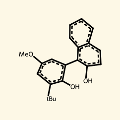 COc1cc(-c2c(O)ccc3ccccc23)c(O)c(C(C)(C)C)c1